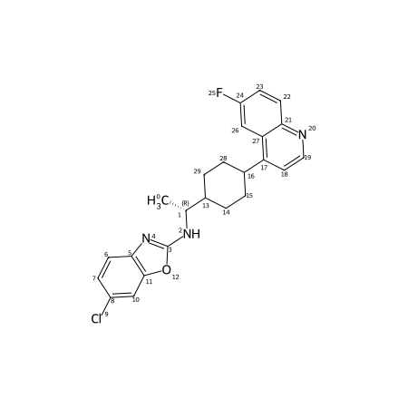 C[C@@H](Nc1nc2ccc(Cl)cc2o1)C1CCC(c2ccnc3ccc(F)cc23)CC1